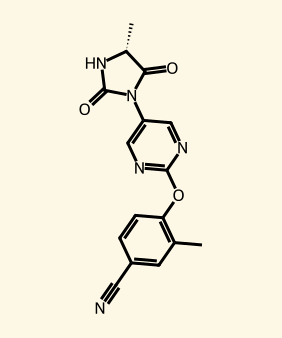 Cc1cc(C#N)ccc1Oc1ncc(N2C(=O)N[C@H](C)C2=O)cn1